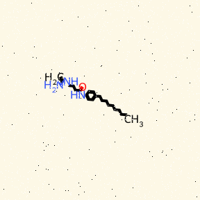 C=C(N)NCCCC(=O)Nc1ccc(CCCCCCCCCC)cc1